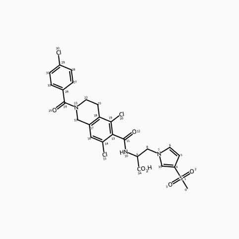 CS(=O)(=O)c1ccn(CC(NC(=O)c2c(Cl)cc3c(c2Cl)CCN(C(=O)c2ccc(Cl)cc2)C3)C(=O)O)c1